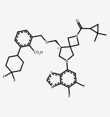 CC1(C)CC1C(=O)N1CC2(C1)CN(c1cc(F)c(F)c3ncsc13)C[C@H]2COCc1cccc(C2CCC(F)(F)CC2)c1C(=O)O